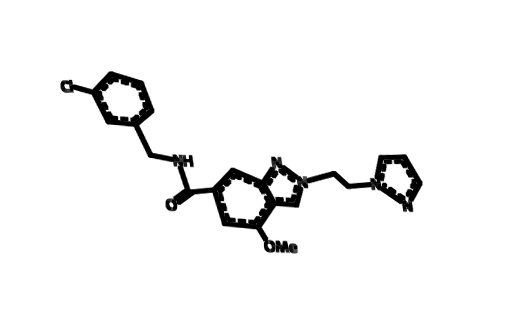 COc1cc(C(=O)NCc2cccc(Cl)c2)cc2nn(CCn3cccn3)cc12